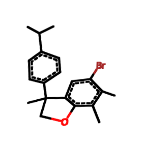 Cc1c(Br)cc2c(c1C)OCC2(C)c1ccc(C(C)C)cc1